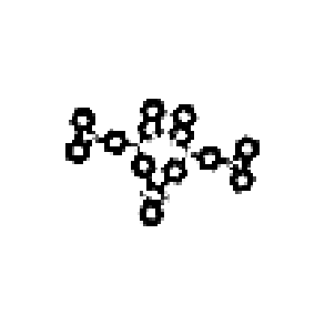 c1ccc2cc(N(c3ccc(-c4nc5ccccc5nc4-c4ccc(N(c5ccc(-n6c7ccccc7c7ccccc76)cc5)c5cc6ccccc6cn5)cc4)cc3)c3ccc(-n4c5ccccc5c5ccccc54)cc3)ncc2c1